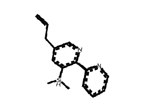 C=CCc1cnc(-c2ccccn2)c([SiH](C)C)c1